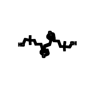 CC(C)(CO)CCCC1=C2OC1=CC2C=CC1=C2OC1=CC2CCCC(C)(C)CO